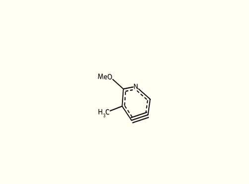 COc1ncc#cc1C